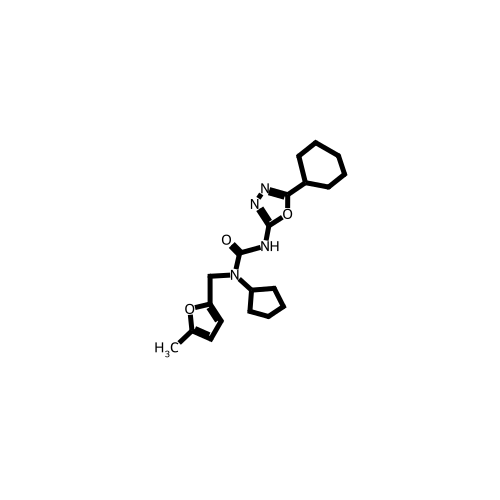 Cc1ccc(CN(C(=O)Nc2nnc(C3CCCCC3)o2)C2CCCC2)o1